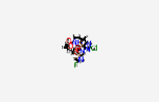 Cc1c(C[C@H](C)NC(=O)OC(C)(C)C)sc2c(N(Cc3nc(F)cs3)C(=O)OC(C)(C)C)nc(Cl)nc12